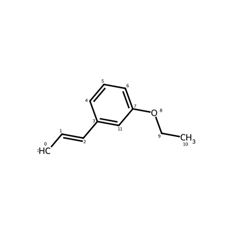 [CH]C=Cc1cccc(OCC)c1